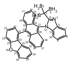 BC(B)(B)c1nc2ccccc2n1-c1c2ccccc2c(-c2cccc3oc4ccccc4c23)c2ccccc12